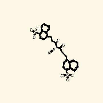 [N-]=[N+]=C(C(=O)CCc1ccc(S(=O)(=O)Cl)c2ccccc12)C(=O)CCc1ccc(S(=O)(=O)Cl)c2ccccc12